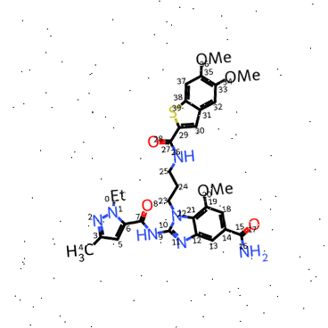 CCn1nc(C)cc1C(=O)Nc1nc2cc(C(N)=O)cc(OC)c2n1CCCNC(=O)c1cc2cc(OC)c(OC)cc2s1